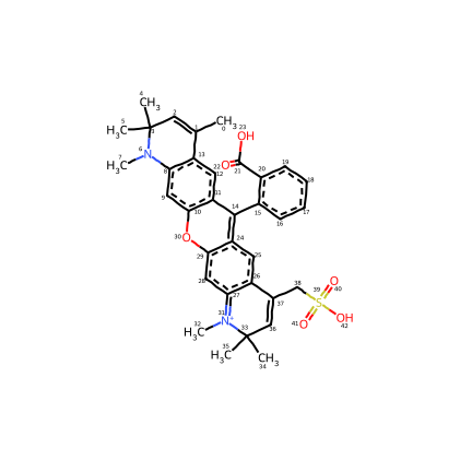 CC1=CC(C)(C)N(C)c2cc3c(cc21)C(c1ccccc1C(=O)O)=c1cc2c(cc1O3)=[N+](C)C(C)(C)C=C2CS(=O)(=O)O